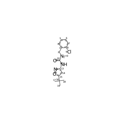 CN(Cc1ccccc1Cl)C(=O)Nc1cc(C(C)(C)C)on1